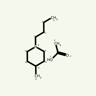 CC(=O)O.CCCCN1CCC(C)CC1